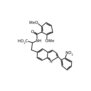 COc1cccc(OC)c1C(=O)NC(Cc1ccc2nc(-c3ccccc3[N+](=O)[O-])ccc2c1)C(=O)O